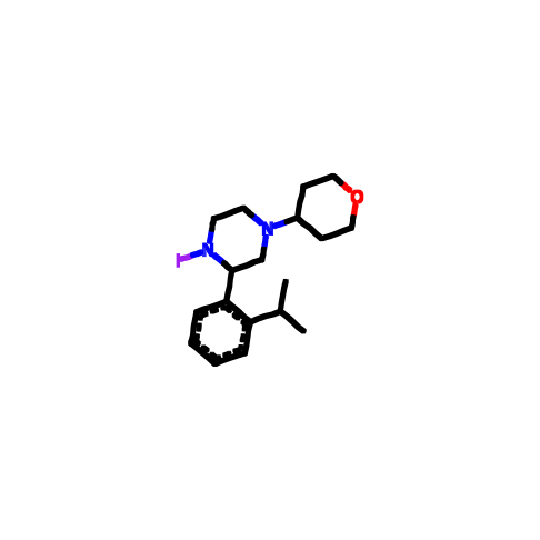 CC(C)c1ccccc1C1CN(C2CCOCC2)CCN1I